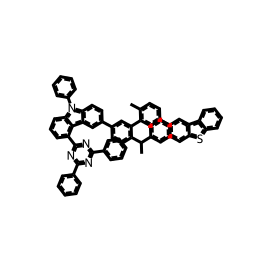 Cc1ccc(-c2ccc3sc4ccccc4c3c2)cc1-c1cc(-c2ccc3c(c2)c2c(-c4nc(-c5ccccc5)nc(-c5ccccc5)n4)cccc2n3-c2ccccc2)ccc1C(C)c1ccccc1